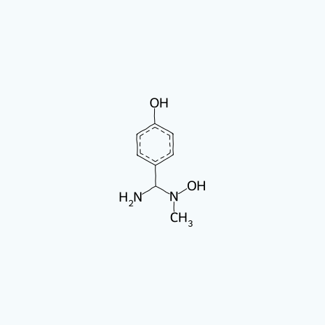 CN(O)C(N)c1ccc(O)cc1